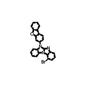 Brc1cccc2nc3n(-c4ccc5c(c4)oc4ccccc45)c4ccccc4n3c12